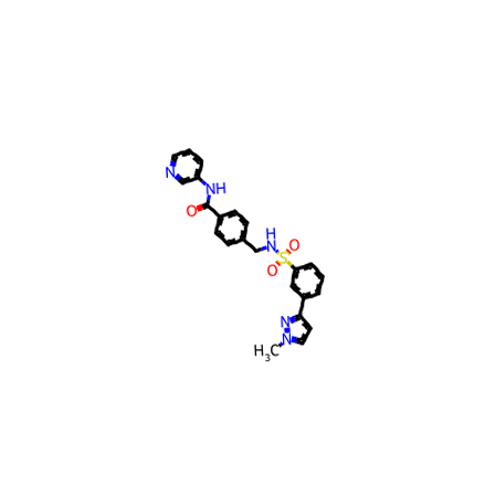 Cn1ccc(-c2cccc(S(=O)(=O)NCc3ccc(C(=O)Nc4cccnc4)cc3)c2)n1